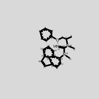 CC(COc1ccccc1)N(C)C(=N)N(C)c1ccc2c3c(cccc13)C=C2